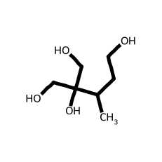 CC(CCO)C(O)(CO)CO